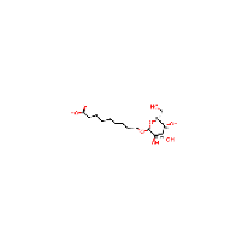 O=C(O)CCCCCCCCOC1O[C@H](CO)[C@@H](O)[C@H](O)[C@H]1O